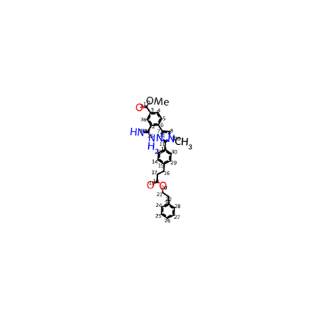 COC(=O)c1ccc(-c2cn(C)c(-c3ccc(CCC(=O)OCCc4ccccc4)cc3)n2)c(C(=N)N)c1